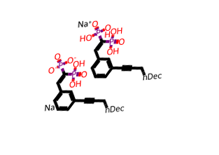 CCCCCCCCCCCC#Cc1cccc(C=C(P(=O)(O)O)P(=O)(O)O)c1.CCCCCCCCCCCC#Cc1cccc(C=C(P(=O)([O-])[O-])P(=O)(O)O)c1.[Na+].[Na+]